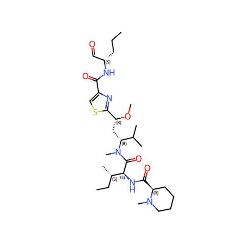 CCC[C@@H](C=O)NC(=O)c1csc([C@@H](C[C@H](C(C)C)N(C)C(=O)[C@@H](NC(=O)[C@H]2CCCCN2C)[C@@H](C)CC)OC)n1